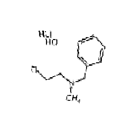 CN(CCCl)Cc1ccccc1.Cl.Cl